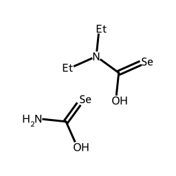 CCN(CC)C(O)=[Se].NC(O)=[Se]